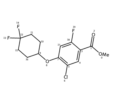 COC(=O)c1cc(Cl)c(OC2CCC(F)(F)CC2)cc1F